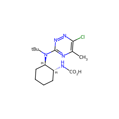 Cc1nc(N([C@@H]2CCCC[C@H]2NC(=O)O)C(C)(C)C)nnc1Cl